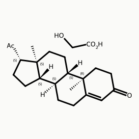 CC(=O)[C@H]1CC[C@H]2[C@@H]3CCC4=CC(=O)CC[C@]4(C)[C@H]3CC[C@]12C.O=C(O)CO